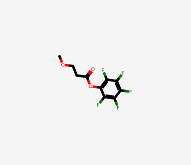 COCCC(=O)Oc1c(F)c(F)c(F)c(F)c1F